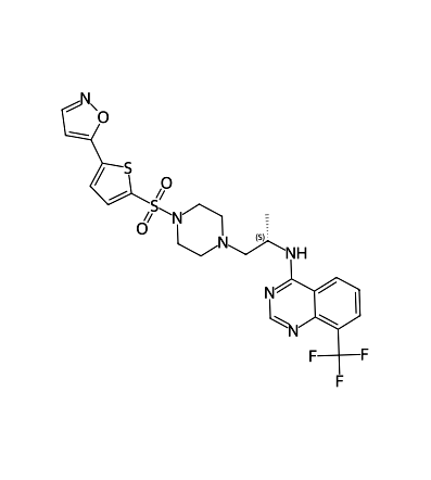 C[C@@H](CN1CCN(S(=O)(=O)c2ccc(-c3ccno3)s2)CC1)Nc1ncnc2c(C(F)(F)F)cccc12